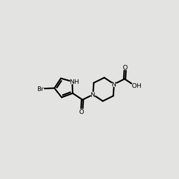 O=C(O)N1CCN(C(=O)c2cc(Br)c[nH]2)CC1